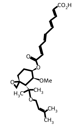 CO[C@H]1[C@H](C(C)(C)OCC=C(C)C)[C@]2(CC[C@H]1OC(=O)/C=C/C=C/C=C/C=C/C(=O)O)CO2